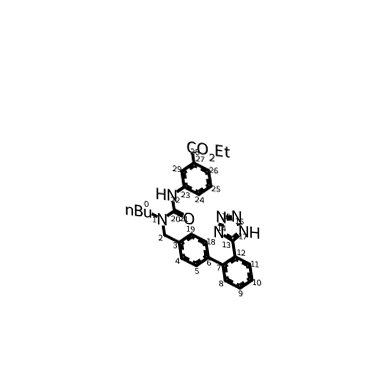 CCCCN(Cc1ccc(-c2ccccc2-c2nnn[nH]2)cc1)C(=O)Nc1cccc(C(=O)OCC)c1